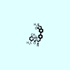 C[C@@H]1CC[C@H](C)N[C@@H]1C(=O)N[C@H](C#N)Cc1ccc(-c2ccc3c(c2)C(=O)N(C)C3)cc1